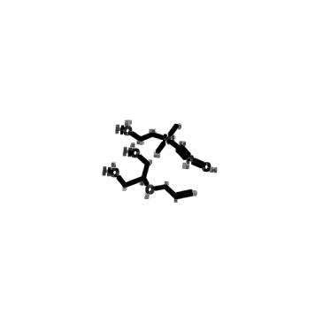 C=CCOC(CO)CO.C[N+](C)(C#P=O)CCO